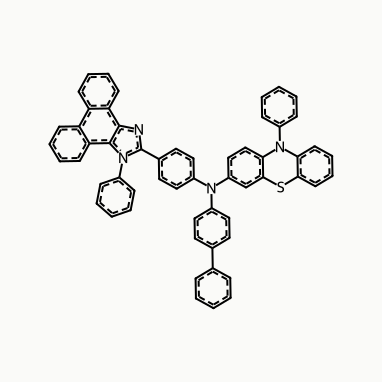 c1ccc(-c2ccc(N(c3ccc(-c4nc5c6ccccc6c6ccccc6c5n4-c4ccccc4)cc3)c3ccc4c(c3)Sc3ccccc3N4c3ccccc3)cc2)cc1